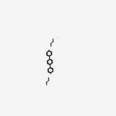 OCCCCOc1ccc(-c2ccc(-c3ccc(OCCCCO)cc3)cc2)cc1